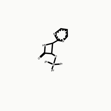 CC(C)[Si](OC1C(=O)NC1c1ncccn1)(C(C)C)C(C)C